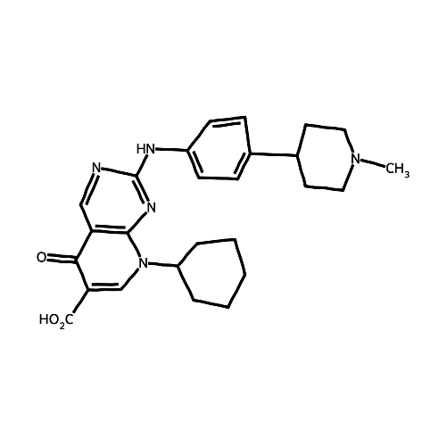 CN1CCC(c2ccc(Nc3ncc4c(=O)c(C(=O)O)cn(C5CCCCC5)c4n3)cc2)CC1